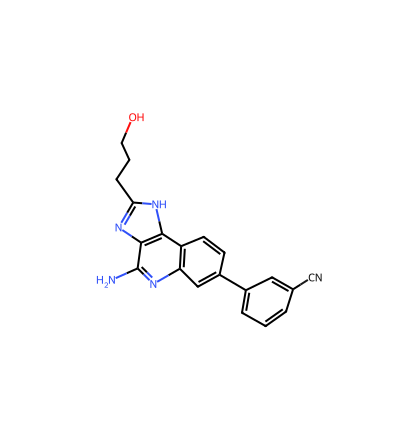 N#Cc1cccc(-c2ccc3c(c2)nc(N)c2nc(CCCO)[nH]c23)c1